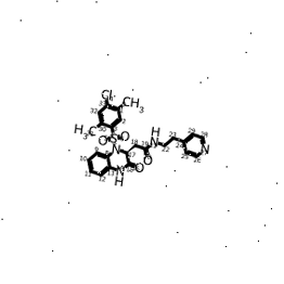 Cc1cc(S(=O)(=O)N2c3ccccc3NC(=O)[C@@H]2CC(=O)NCCc2ccncc2)c(C)cc1Cl